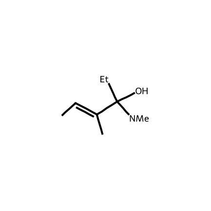 C/C=C(\C)C(O)(CC)NC